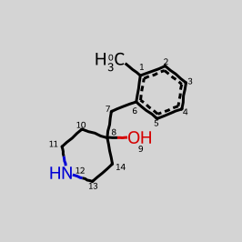 Cc1ccccc1CC1(O)CCNCC1